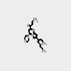 C\C=C/C(=C\C=C\CC)c1cc2nc(C(=O)/C=C/C)cc(N3CCOCC3)n2n1